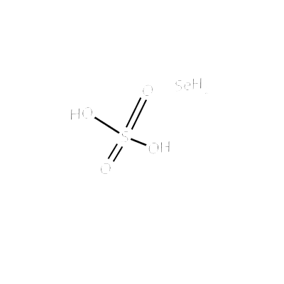 O=S(=O)(O)O.[SeH2]